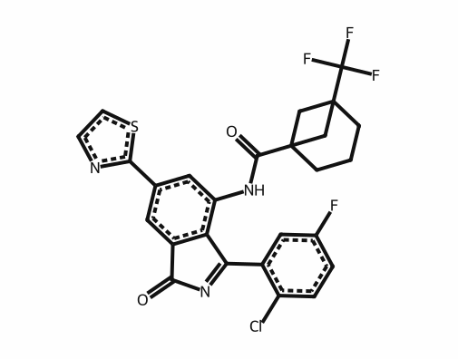 O=C1N=C(c2cc(F)ccc2Cl)c2c(NC(=O)C34CCCC(C(F)(F)F)(C3)C4)cc(-c3nccs3)cc21